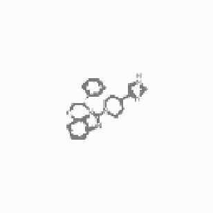 c1ccc([C@H]2COc3cccc4nc(N5CCC(c6c[nH]cn6)CC5)n2c34)cc1